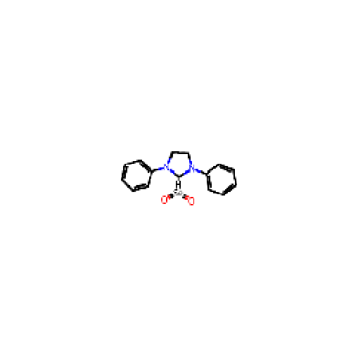 O=[SeH](=O)C1N(c2ccccc2)CCN1c1ccccc1